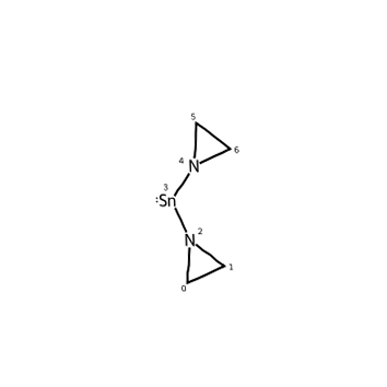 C1C[N]1[Sn][N]1CC1